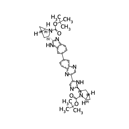 CC(C)(C)OC(=O)N1[C@@H](c2ncc(-c3cnc4cc(-c5ccc6nc([C@@H]7C[C@H]8C[C@H]8N7C(=O)OC(C)(C)C)[nH]c6c5)ccc4n3)[nH]2)C[C@H]2C[C@H]21